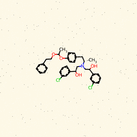 CC(OCCc1ccccc1)Oc1ccc(C[C@H](C)N(CC(O)c2cccc(Cl)c2)CC(O)c2cccc(Cl)c2)cc1